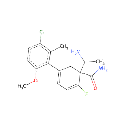 COc1ccc(Cl)c(C)c1C1=CC=C(F)C(C(N)=O)(C(C)N)C1